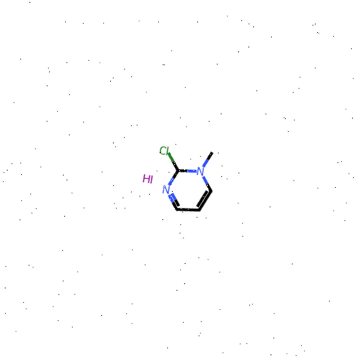 CN1C=CC=NC1Cl.I